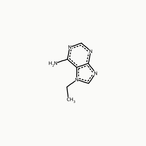 CCn1cnc2ncnc(N)c21